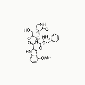 COc1cccc2[nH]c(C(=O)N(C(=O)[C@@H](N)Cc3ccccc3)[C@@H](C[C@@H]3CCNC3=O)C(=O)CO)cc12